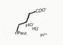 CCCCCCCCC(=O)[O-].[In+3].[OH-].[OH-]